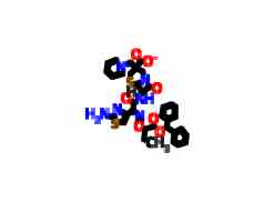 CCC(ON=C(C(=O)N[C@@H]1C(=O)N2CC(C[n+]3ccccc3)(C(=O)[O-])CS[C@H]12)c1csc(N)n1)C(=O)OC(c1ccccc1)c1ccccc1